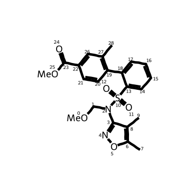 COCN(c1noc(C)c1C)S(=O)(=O)c1ccccc1-c1ccc(C(=O)OC)cc1C